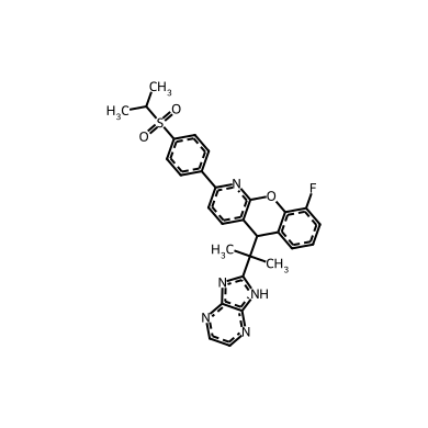 CC(C)S(=O)(=O)c1ccc(-c2ccc3c(n2)Oc2c(F)cccc2C3C(C)(C)c2nc3nccnc3[nH]2)cc1